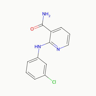 NC(=O)c1cccnc1Nc1cccc(Cl)c1